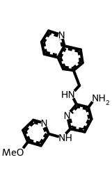 COc1ccnc(Nc2ccc(N)c(NCc3ccc4ncccc4c3)n2)c1